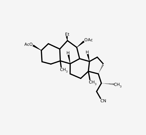 CC[C@@H]1C2C[C@H](OC(C)=O)CCC2(C)[C@H]2CCC3(C)[C@@H]([C@H](C)CC#N)CC[C@H]3C2[C@@H]1OC(C)=O